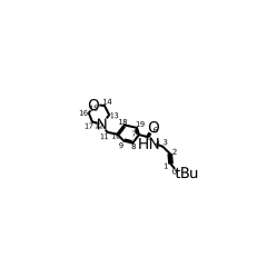 CC(C)(C)C#CCNC(=O)c1ccc(CN2CCOCC2)cc1